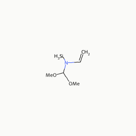 C=CN([SiH3])C(OC)OC